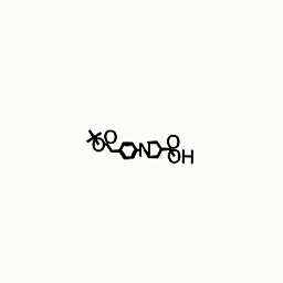 CC(C)(C)OC(=O)Cc1ccc(N2CCC(C(=O)O)CC2)cc1